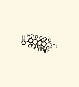 CC(C)N[C@@H]1C(O)=C(C(N)=O)C(=O)[C@@]2(O)C(O)=C3C(=O)c4c(O)cc(C5CCCN5)c(C(F)(F)F)c4C[C@H]3C[C@@H]12